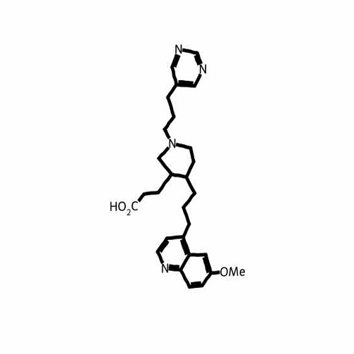 COc1ccc2nccc(CCCC3CCN(CCCc4cncnc4)CC3CCC(=O)O)c2c1